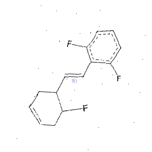 Fc1cccc(F)c1/C=C/C1CC=CCC1F